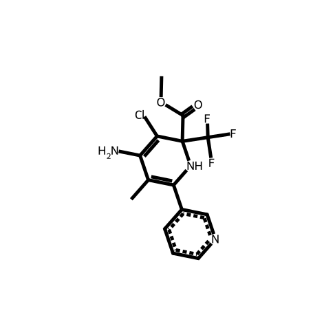 COC(=O)C1(C(F)(F)F)NC(c2cccnc2)=C(C)C(N)=C1Cl